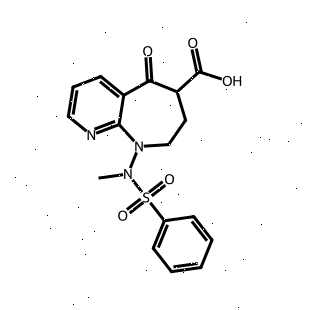 CN(N1CCC(C(=O)O)C(=O)c2cccnc21)S(=O)(=O)c1ccccc1